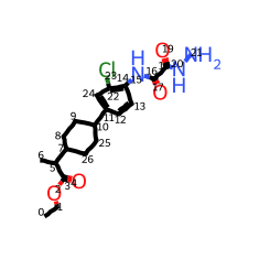 CCOC(=O)C(C)C1CCC(c2ccc(NC(=O)C(=O)NN)c(Cl)c2)CC1